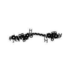 C[C@H](N(Cc1ccc(F)cc1)C(=O)CN1C(=O)O[C@@]2(CCc3cc(NC(=O)CCCCCCCCCNc4ccc5c(c4)C(=O)N(C4CCC(=O)NC4=O)C5=O)ccc32)C1=O)C(F)(F)F